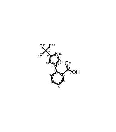 O=C(O)c1ccccc1-n1cc(C(F)(F)F)nn1